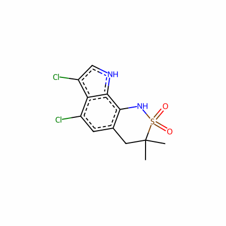 CC1(C)Cc2cc(Cl)c3c(Cl)c[nH]c3c2NS1(=O)=O